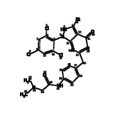 CCc1[nH]n(-c2c(Cl)cc(Cl)cc2Cl)c2nc(Cc3ccc(NC(=O)CN(C)C)cc3)nc(=O)c1-2